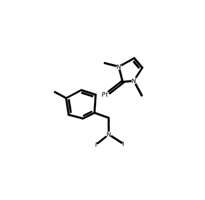 Cc1ccc(CN(I)I)cc1.Cn1ccn(C)[c]1=[Pt]